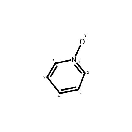 [O-][n+]1[c]c[c]cc1